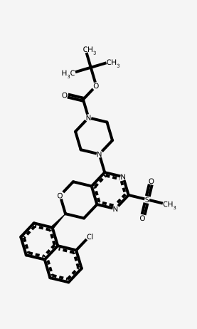 CC(C)(C)OC(=O)N1CCN(c2nc(S(C)(=O)=O)nc3c2CO[C@H](c2cccc4cccc(Cl)c24)C3)CC1